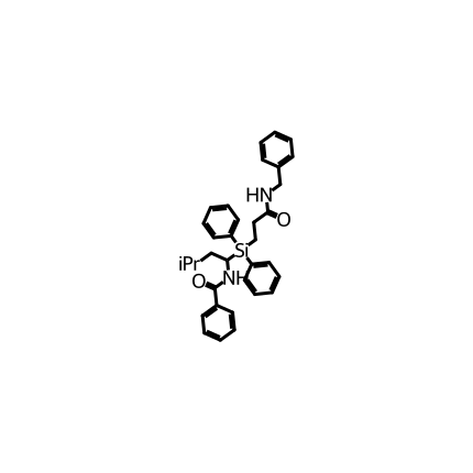 CC(C)CC(NC(=O)c1ccccc1)[Si](CCC(=O)NCc1ccccc1)(c1ccccc1)c1ccccc1